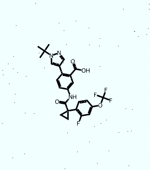 CC(C)(C)n1cc(-c2ccc(NC(=O)C3(c4ccc(OC(F)(F)F)cc4F)CC3)cc2C(=O)O)cn1